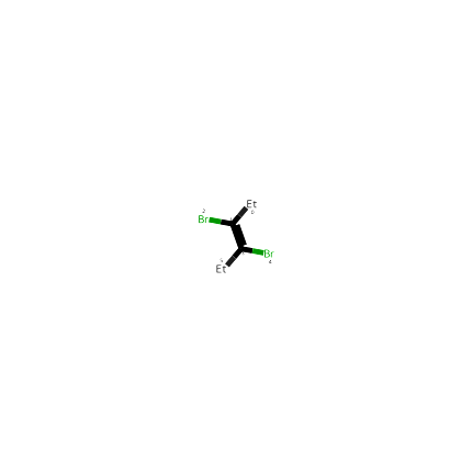 CC/C(Br)=C(\Br)CC